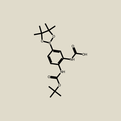 CC(C)(C)OC(=O)Nc1ccc(B2OC(C)(C)C(C)(C)O2)cc1NC(=O)O